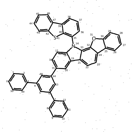 c1ccc(-c2cc(-c3ccccc3)cc(-c3ccc4c(c3)c3ccc5c6ccccc6oc5c3n4-c3cccc4c3sc3ccccc34)c2)cc1